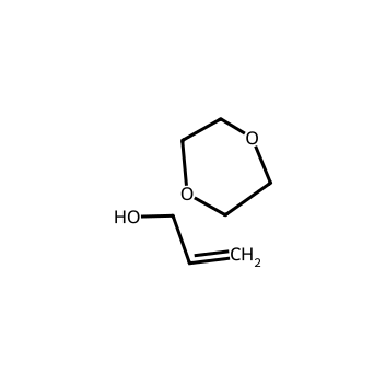 C1COCCO1.C=CCO